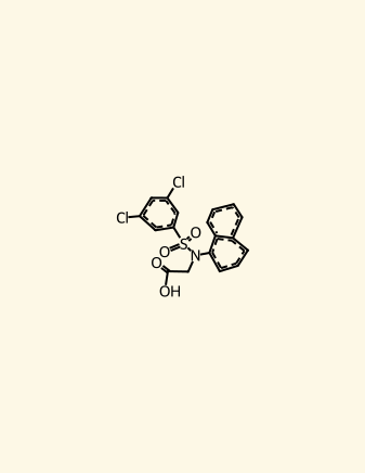 O=C(O)CN(c1cccc2ccccc12)S(=O)(=O)c1cc(Cl)cc(Cl)c1